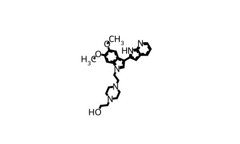 COc1cc2c(-c3cc4cccnc4[nH]3)cn(CCN3CCN(CCO)CC3)c2cc1OC